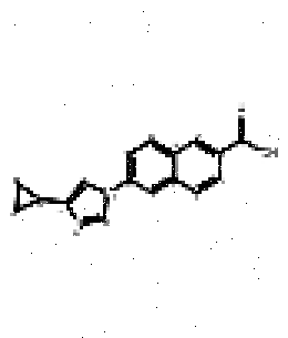 O=C(O)c1ccc2cc(-n3cnc(C4CC4)c3)ccc2c1